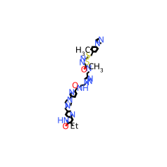 CCc1cc2ncc(CN3CCN(c4ccc(C(=O)NCCn5cc(CCN(C)C(=O)c6nnc(SCc7ccc(-n8ccnc8)cc7C)s6)nn5)nc4)CC3)cc2[nH]c1=O